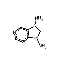 NN1CN(N)c2cnccc21